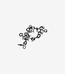 CC#CC(=O)N1CC[C@H](C(=O)N(C)[C@H](C(=O)N[C@H]2Cc3nc(cs3)-c3ccc4c(c3)c(c(-c3cccnc3[C@H](C)OC)n4C)CC(C)(C)COC(=O)[C@@H]3CCCN(N3)C2=O)C2CCCC2)C1